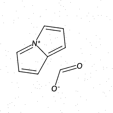 C1=CC2=CC=C[N+]2=C1.O=C[O-]